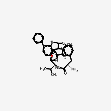 COC(=O)c1nc2oc1C13c4cc(ccc4OC1Nc1c(-c4ccccc4)cccc13)C[C@H](N)C(=O)N[C@H]2C(C)C